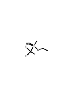 CCOP(C)(=N)C(F)(F)F